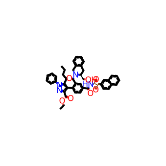 CCCCc1c(-c2ccc(C(=O)NS(=O)(=O)c3ccc4ccccc4c3)cc2C(=O)N2Cc3ccccc3C[C@H]2CO)c(C(=O)OCC)nn1-c1ccccc1